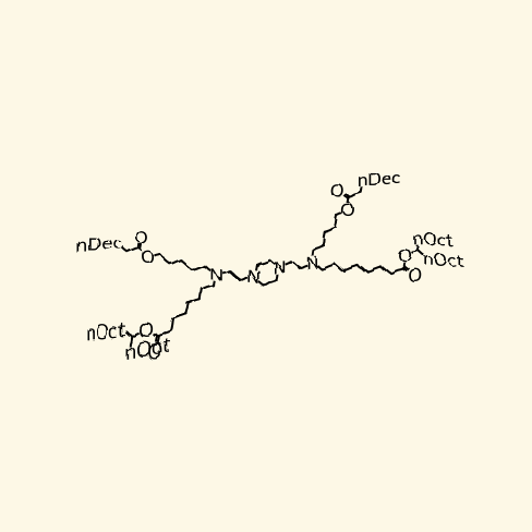 CCCCCCCCCCCC(=O)OCCCCCN(CCCCCCCC(=O)OC(CCCCCCCC)CCCCCCCC)CCN1CCN(CCN(CCCCCCCC(=O)OC(CCCCCCCC)CCCCCCCC)CCCCCOC(=O)CCCCCCCCCCC)CC1